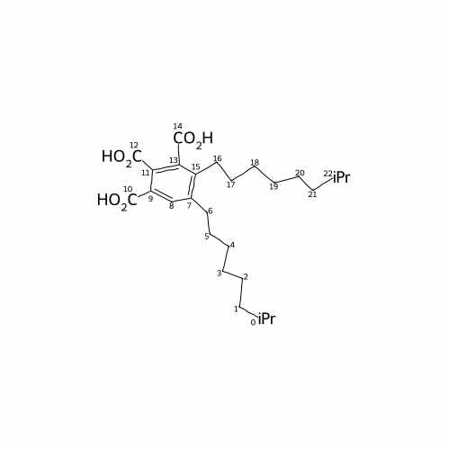 CC(C)CCCCCCc1cc(C(=O)O)c(C(=O)O)c(C(=O)O)c1CCCCCCC(C)C